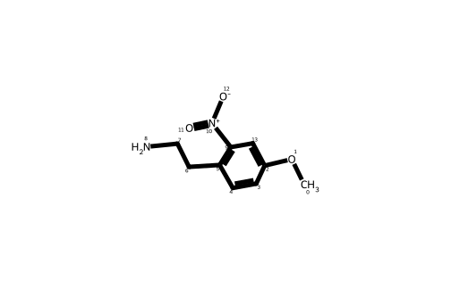 COc1ccc(CCN)c([N+](=O)[O-])c1